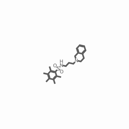 Cc1c(C)c(C)c(S(=O)(=O)NCCCN2CCc3ccccc3C2)c(C)c1C